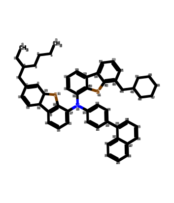 CCCCC(CC)CC1=CC2Sc3c(cccc3N(c3ccc(-c4cccc5ccccc45)cc3)c3cccc4c3sc3c(CC5CCCCC5)cccc34)C2C=C1